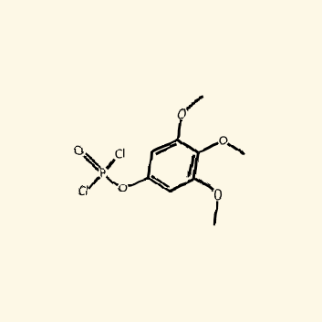 COc1cc(OP(=O)(Cl)Cl)cc(OC)c1OC